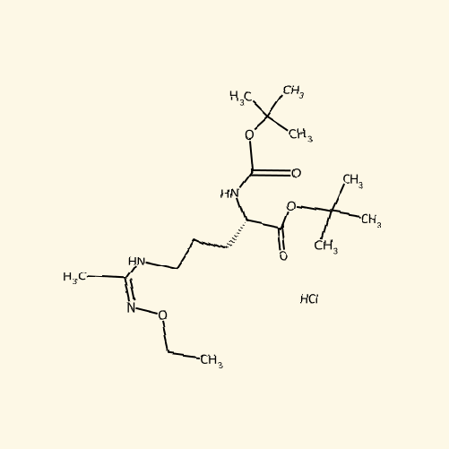 CCO/N=C(/C)NCCC[C@H](NC(=O)OC(C)(C)C)C(=O)OC(C)(C)C.Cl